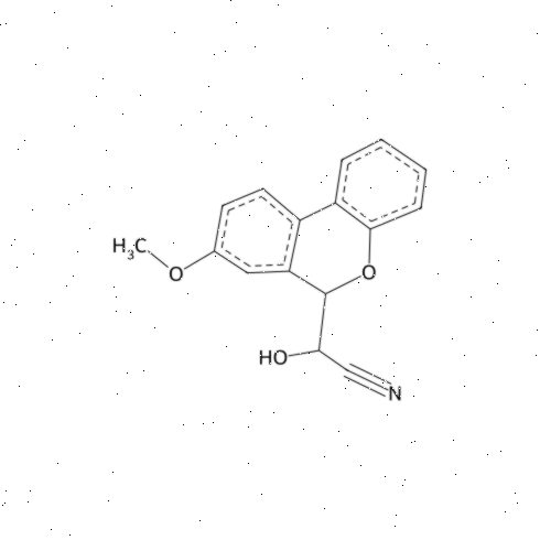 COc1ccc2c(c1)C(C(O)C#N)Oc1ccccc1-2